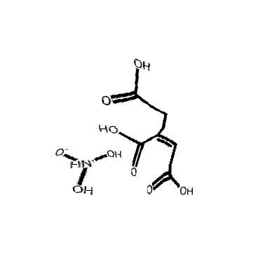 O=C(O)C=C(CC(=O)O)C(=O)O.[O-][NH+](O)O